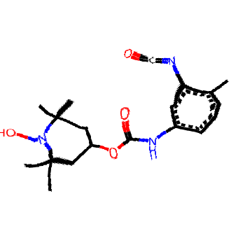 Cc1ccc(NC(=O)OC2CC(C)(C)N(O)C(C)(C)C2)cc1N=C=O